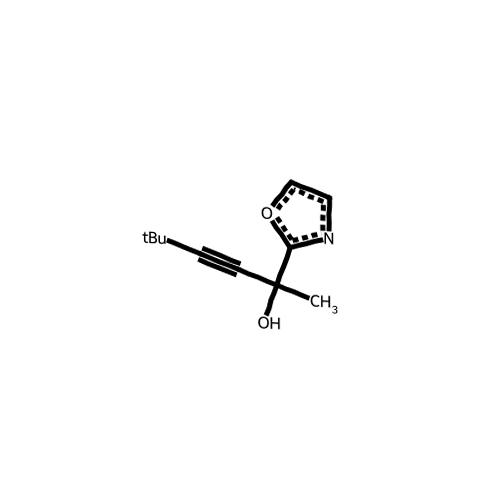 CC(C)(C)C#CC(C)(O)c1ncco1